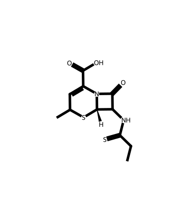 CCC(=S)NC1C(=O)N2C(C(=O)O)=CC(C)S[C@@H]12